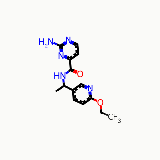 CC(NC(=O)c1ccnc(N)n1)c1ccc(OCC(F)(F)F)nc1